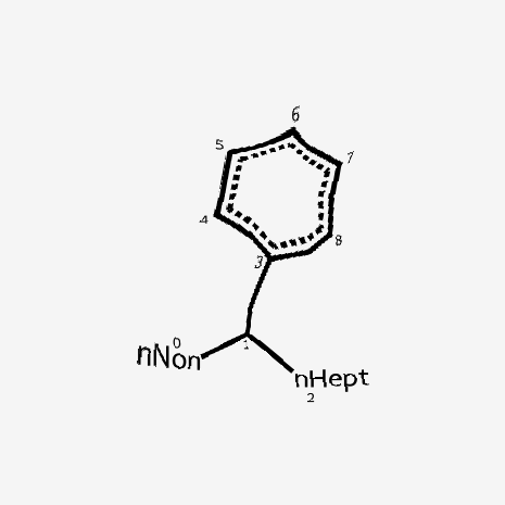 CCCCCCCCCC(CCCCCCC)c1ccccc1